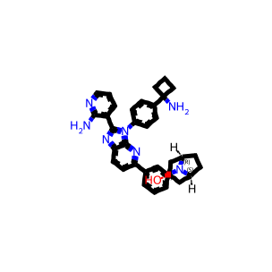 Nc1ncccc1-c1nc2ccc(-c3cccc(N4[C@@H]5CC[C@H]4C[C@H](O)C5)c3)nc2n1-c1ccc(C2(N)CCC2)cc1